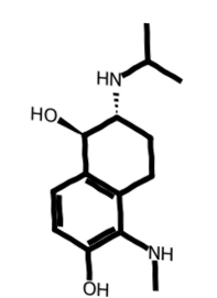 CNc1c(O)ccc2c1CC[C@@H](NC(C)C)[C@@H]2O